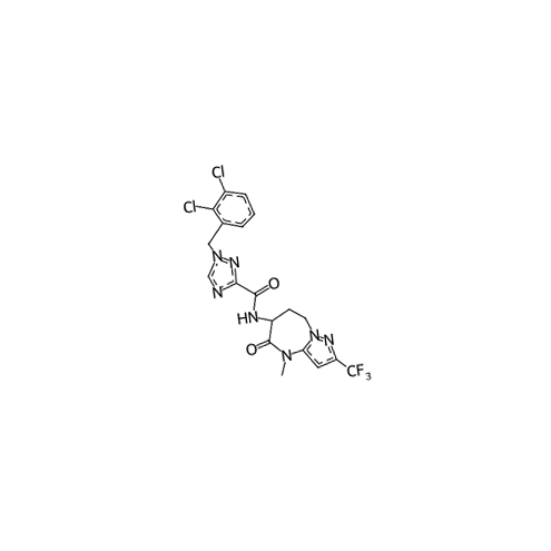 CN1C(=O)C(NC(=O)c2ncn(Cc3cccc(Cl)c3Cl)n2)CCn2nc(C(F)(F)F)cc21